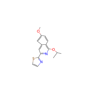 COc1ccc2c(OC(C)C)nc(-c3nccs3)cc2c1